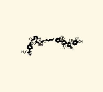 Cc1ncsc1-c1ccc(CNC(=O)C2CCCN2C(=O)[C@@H](NC(=O)COCCCCOc2ccc(-c3ncc(N4C(=S)N(c5ccc(C#N)c(C(F)(F)F)c5F)C(=O)C4(C)C)cc3C(F)(F)F)c(C(F)(F)F)c2)C(C)(C)C)cc1